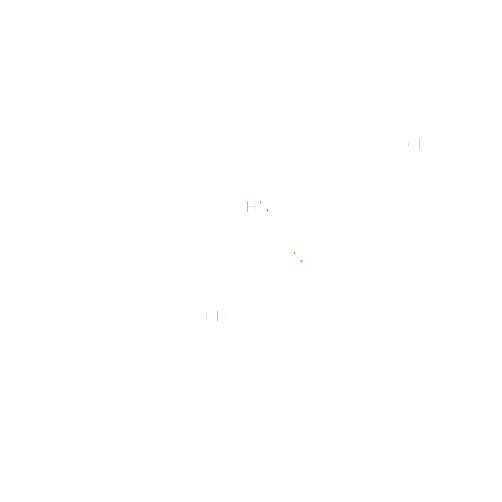 C/C(=C/C1CCCC2CCC=CC2C1)C/C(=N\C(=N)C1=C2C=CCCC2C(Cl)C=C1)c1ccccc1